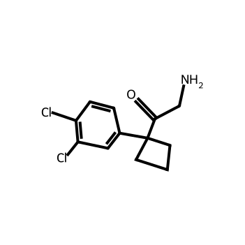 NCC(=O)C1(c2ccc(Cl)c(Cl)c2)CCC1